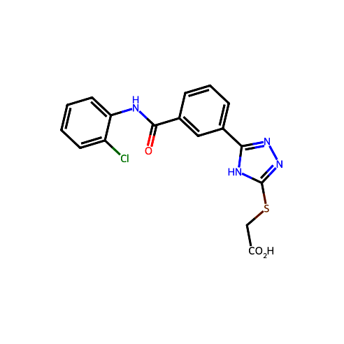 O=C(O)CSc1nnc(-c2cccc(C(=O)Nc3ccccc3Cl)c2)[nH]1